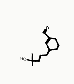 CC(C)(O)CCCC1C=C(C=O)CCC1